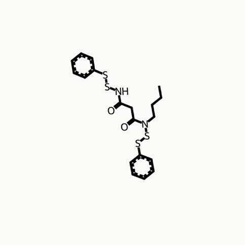 CCCCN(SSc1ccccc1)C(=O)CC(=O)NSSc1ccccc1